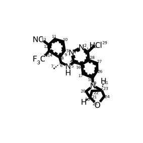 Cc1nnc(N[C@H](C)c2cccc(C#N)c2C(F)(F)F)c2cc(N3C[C@H]4C[C@@H]3CO4)ccc12.Cl